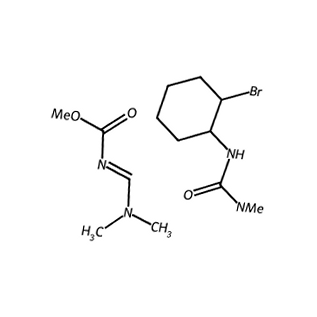 CNC(=O)NC1CCCCC1Br.COC(=O)N=CN(C)C